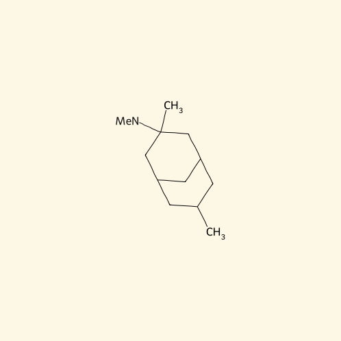 CNC1(C)CC2CC(C)CC(C2)C1